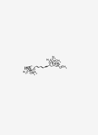 C#CC[C@H](/C=C/C=C/C#CC(CCCC(=O)OC)O[Si](C)(C)C(C)(C)C)O[Si](C)(C)C(C)(C)C